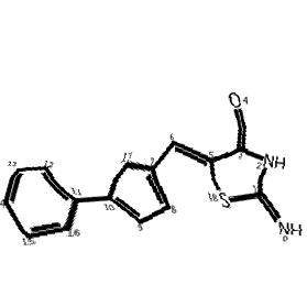 N=C1NC(=O)/C(=C/C2=CC=C(c3ccccc3)C2)S1